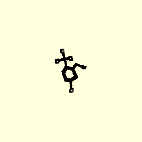 Clc1ccc(C(Cl)(Cl)Cl)c(CBr)c1